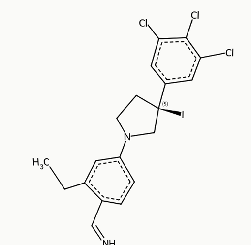 CCc1cc(N2CC[C@](I)(c3cc(Cl)c(Cl)c(Cl)c3)C2)ccc1C=N